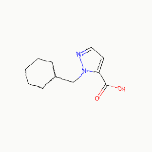 O=C(O)c1ccnn1CC1CCCCC1